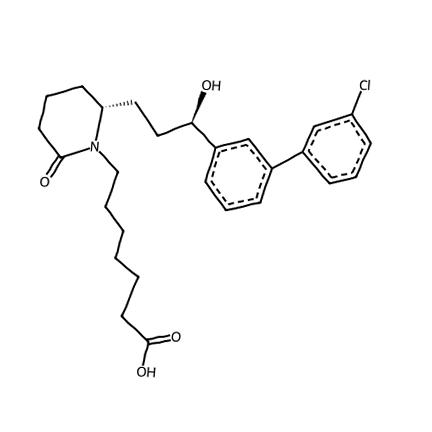 O=C(O)CCCCCCN1C(=O)CCC[C@@H]1CC[C@@H](O)c1cccc(-c2cccc(Cl)c2)c1